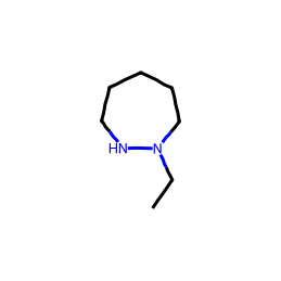 CCN1CCCCCN1